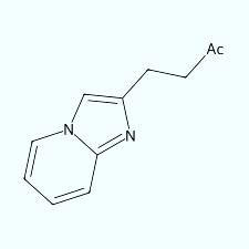 CC(=O)CCc1cn2ccccc2n1